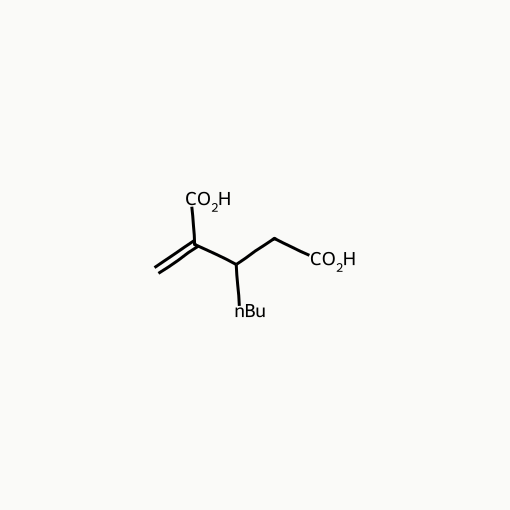 C=C(C(=O)O)C(CCCC)CC(=O)O